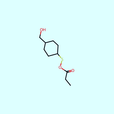 CCC(=O)OSC1CCC(CO)CC1